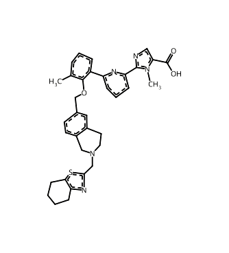 Cc1cccc(-c2cccc(-c3ncc(C(=O)O)n3C)n2)c1OCc1ccc2c(c1)CCN(Cc1nc3c(s1)CCCC3)C2